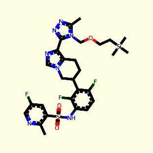 Cc1ncc(F)cc1S(=O)(=O)Nc1ccc(F)c(C2CCc3c(-c4nnc(C)n4COCC[Si](C)(C)C)ncn3C2)c1F